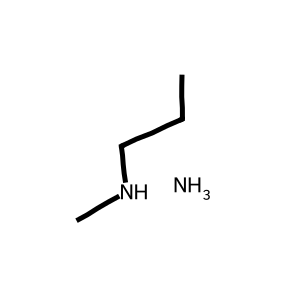 CCCNC.N